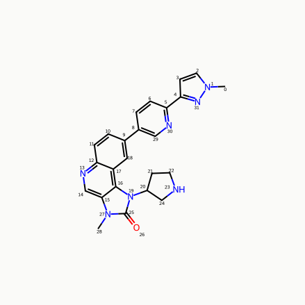 Cn1ccc(-c2ccc(-c3ccc4ncc5c(c4c3)n(C3CCNC3)c(=O)n5C)cn2)n1